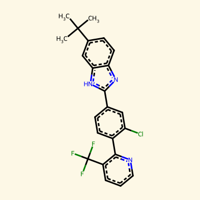 CC(C)(C)c1ccc2nc(-c3ccc(-c4ncccc4C(F)(F)F)c(Cl)c3)[nH]c2c1